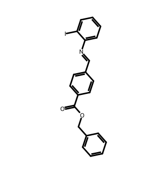 O=C(OCc1ccccc1)c1ccc(/C=N/c2ccccc2I)cc1